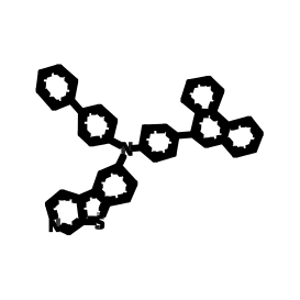 c1ccc(-c2ccc(N(c3ccc(-c4cc5ccccc5c5ccccc45)cc3)c3ccc4sc5cnccc5c4c3)cc2)cc1